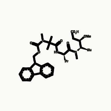 CC[C@H](C)[C@@H]([C@@H](CC(=O)O)OC)N(C)C(=O)[C@@H](NC(=O)C(C)(C)N(C)C(=O)OCC1c2ccccc2-c2ccccc21)C(C)C